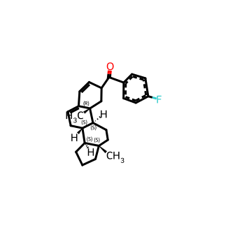 C[C@@]12CCC[C@H]1[C@@H]1CC=C3C=CC(C(=O)c4ccc(F)cc4)C[C@]3(C)[C@H]1CC2